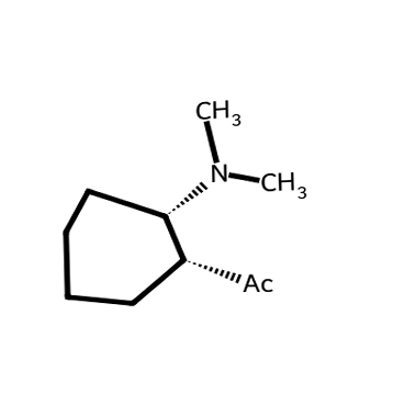 CC(=O)[C@@H]1CCCC[C@@H]1N(C)C